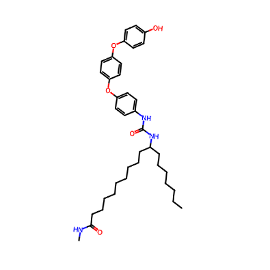 CCCCCCCC(CCCCCCCCCC(=O)NC)NC(=O)Nc1ccc(Oc2ccc(Oc3ccc(O)cc3)cc2)cc1